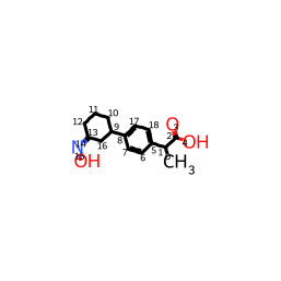 CC(C(=O)O)c1ccc(C2CCC/C(=N/O)C2)cc1